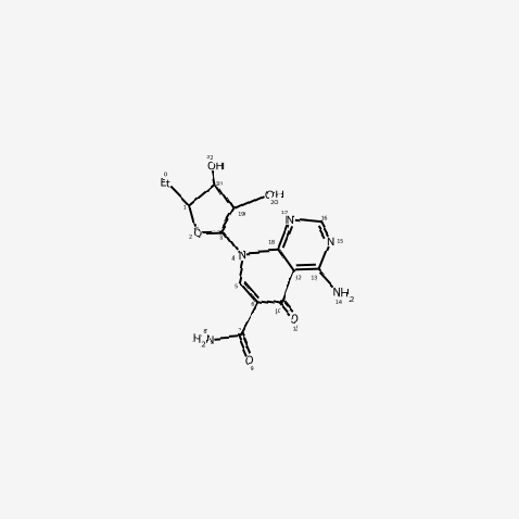 CCC1OC(n2cc(C(N)=O)c(=O)c3c(N)ncnc32)C(O)C1O